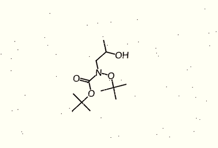 CC(O)CN(OC(C)(C)C)C(=O)OC(C)(C)C